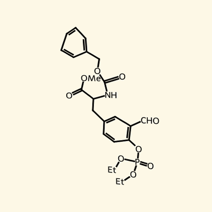 CCOP(=O)(OCC)Oc1ccc(CC(NC(=O)OCc2ccccc2)C(=O)OC)cc1C=O